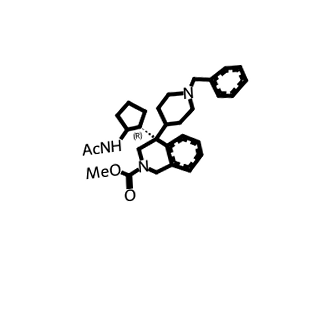 COC(=O)N1Cc2ccccc2C(C2CCN(Cc3ccccc3)CC2)([C@H]2CCCC2NC(C)=O)C1